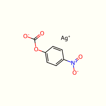 O=C([O-])Oc1ccc([N+](=O)[O-])cc1.[Ag+]